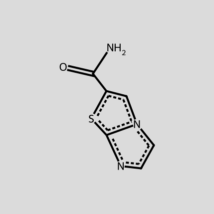 NC(=O)c1cn2ccnc2s1